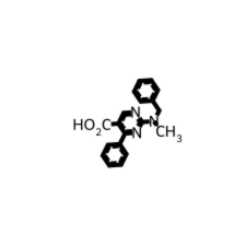 CN(Cc1ccccc1)c1ncc(C(=O)O)c(-c2ccccc2)n1